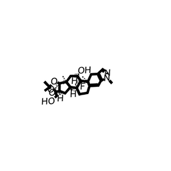 Cn1ncc2c1C=C1CC[C@H]3[C@@H]4C[C@H]5OC(C)(C)O[C@@]5(C(=O)CO)[C@@]4(C)C[C@H](O)[C@]3(F)[C@@]1(C)C2